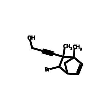 CC12C=CC(C1)C(Br)C2(C)C#CCO